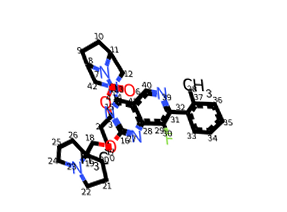 CCCCOC(=O)N1C2CCC1CN(c1nc(OCC34CCCN3CCC4)nc3c(F)c(-c4ccccc4C)ncc13)C2